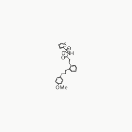 COc1ccc(CC=Cc2ccccc2C=CC(=O)NS(=O)(=O)c2cccs2)cc1